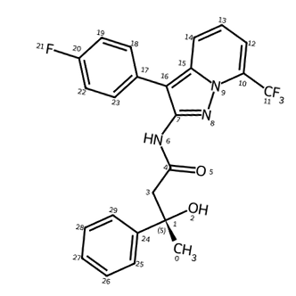 C[C@](O)(CC(=O)Nc1nn2c(C(F)(F)F)cccc2c1-c1ccc(F)cc1)c1ccccc1